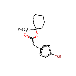 CCOC(=O)C1(OC(=O)Cc2ccc(Br)cc2)CCCCC1